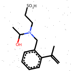 C=C(C)c1ccccc1CN(CCS(=O)(=O)O)C(C)O